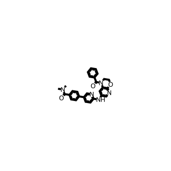 CN(C)C(=O)c1ccc(-c2ccc(Nc3cnc4c(c3)N(C(=O)c3ccccc3)CCO4)nc2)cc1